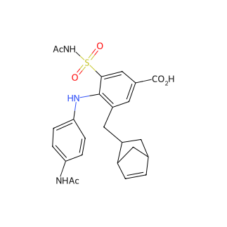 CC(=O)Nc1ccc(Nc2c(CC3CC4C=CC3C4)cc(C(=O)O)cc2S(=O)(=O)NC(C)=O)cc1